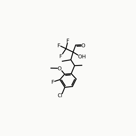 COc1c(C(C)C(C)C(O)(C=O)C(F)(F)F)ccc(Cl)c1F